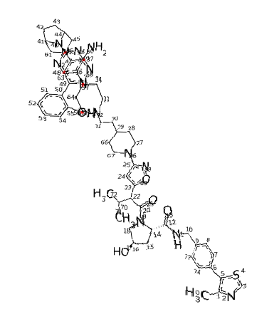 Cc1ncsc1-c1ccc(CNC(=O)[C@@H]2C[C@@H](O)CN2C(=O)C(c2cc(N3CCC(CCN4CCC(c5cnc(N6C7CCC6CN(c6cc(-c8ccccc8O)nnc6N)C7)nc5)CC4)CC3)no2)C(C)C)cc1